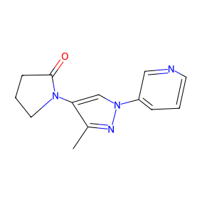 Cc1nn(-c2cccnc2)cc1N1CCCC1=O